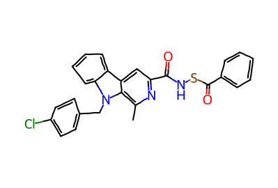 Cc1nc(C(=O)NSC(=O)c2ccccc2)cc2c3ccccc3n(Cc3ccc(Cl)cc3)c12